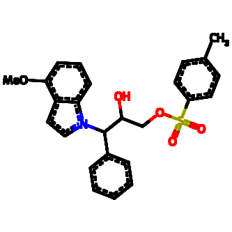 COc1cccc2c1ccn2C(c1ccccc1)C(O)COS(=O)(=O)c1ccc(C)cc1